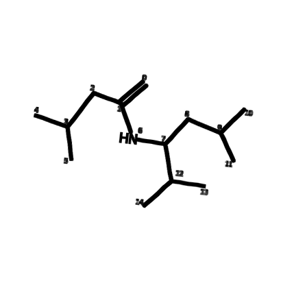 C=C(CC(C)C)NC(CC(C)C)C(C)C